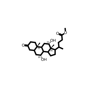 COC(=O)CCC(C)C1CCC2C3C(C[C@H](O)[C@]12C)[C@@]1(C)CCC(=O)CC1C[C@H]3O